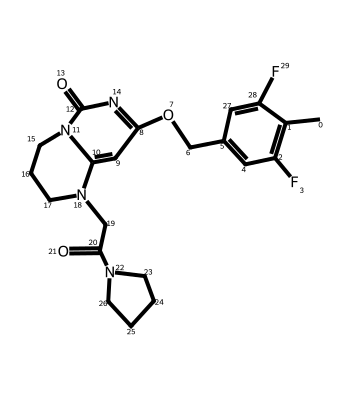 Cc1c(F)cc(COc2cc3n(c(=O)n2)CCCN3CC(=O)N2CCCC2)cc1F